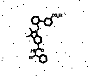 CCOC(=O)c1cccc(-c2ccccc2Cn2c(C)c(C)c3cc(C(=O)NC(CC)c4ccccc4)ccc32)c1